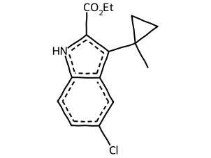 CCOC(=O)c1[nH]c2ccc(Cl)cc2c1C1(C)CC1